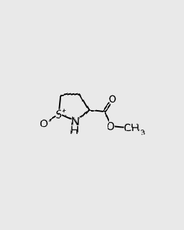 COC(=O)C1CC[S+]([O-])N1